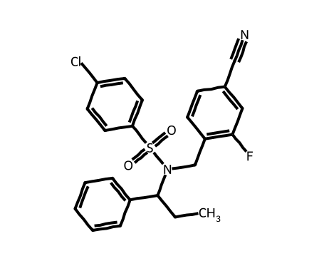 CCC(c1ccccc1)N(Cc1ccc(C#N)cc1F)S(=O)(=O)c1ccc(Cl)cc1